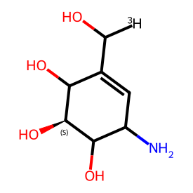 [3H]C(O)C1=CC(N)C(O)[C@@H](O)C1O